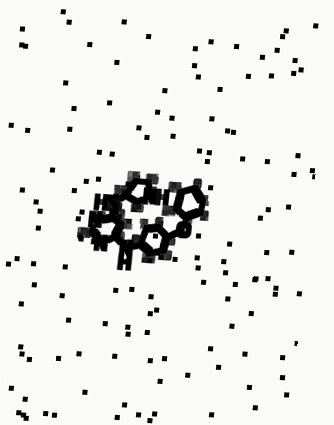 c1ccc(Oc2ccc(Nc3cc(NC4CCNC4)ncn3)cc2)cc1